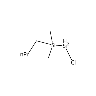 CCCC[Si](C)(C)[SiH2]Cl